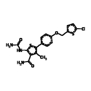 Cc1c(-c2ccc(OCc3ccc(Cl)s3)cc2)sc(NC(N)=O)c1C(N)=O